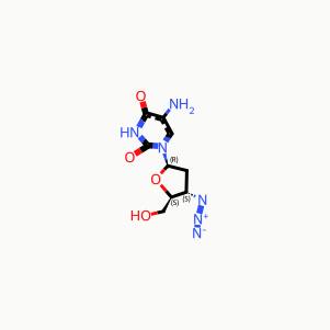 [N-]=[N+]=N[C@H]1C[C@H](n2cc(N)c(=O)[nH]c2=O)O[C@@H]1CO